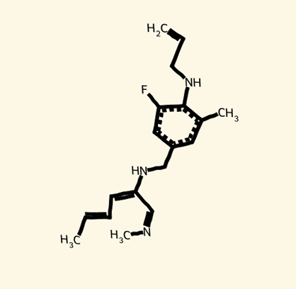 C=CCNc1c(C)cc(CNC(/C=N\C)=C/C=C/C)cc1F